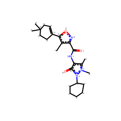 Cc1c(C(=O)Nc2c(C)n(C)n(C3CCCCC3)c2=O)noc1C1=CCC(C)(C)CC1